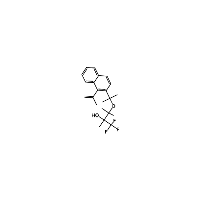 C=C(C)c1c(C(C)(C)OC(C)(C)C(C)(O)C(F)(F)F)ccc2ccccc12